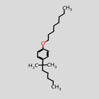 CCCCCCCCOc1[c]cc(C(C)(C)CCCCC)cc1